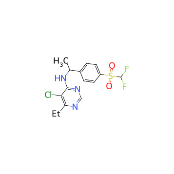 CCc1ncnc(NC(C)c2ccc(S(=O)(=O)C(F)F)cc2)c1Cl